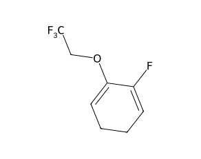 FC1=CCCC=C1OCC(F)(F)F